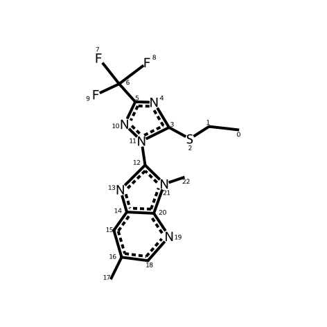 CCSc1nc(C(F)(F)F)nn1-c1nc2cc(C)cnc2n1C